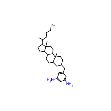 CC(C)CCCC(C)C1CCC2C3CCC4CC(Cc5cc(N)cc(N)c5)CCC4(C)C3CCC12C